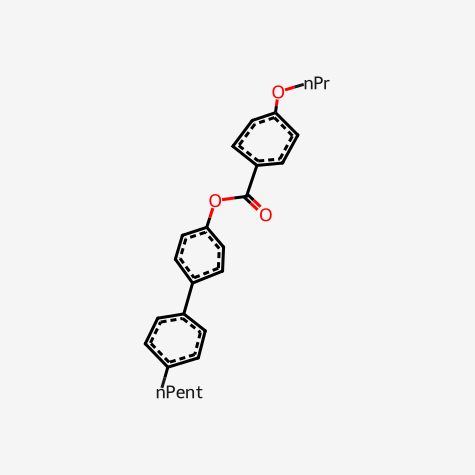 CCCCCc1ccc(-c2ccc(OC(=O)c3ccc(OCCC)cc3)cc2)cc1